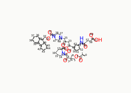 C=CC(=O)OCC(C)(C)C(=O)C(=O)N1CCCC[C@H]1C(=O)OC(CCCN1CCN(C(=O)OCC2c3ccccc3-c3ccccc32)CC1)c1cccc(NC(=O)CCC(=O)O)c1